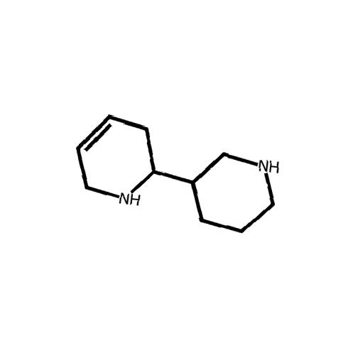 C1=CCC(C2CCCNC2)NC1